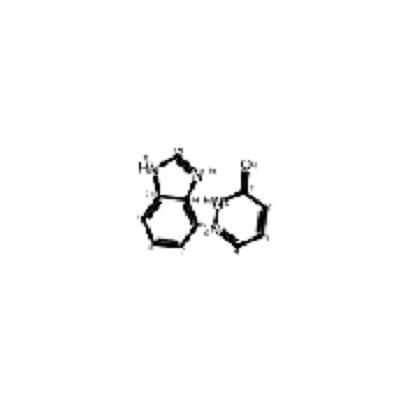 O=c1cccn[nH]1.c1ccc2[nH]cnc2c1